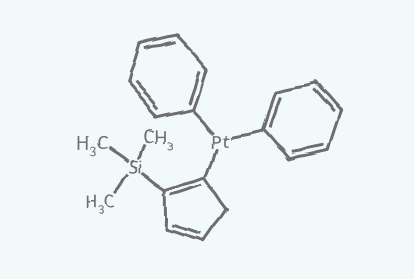 C[Si](C)(C)C1=[C]([Pt]([c]2ccccc2)[c]2ccccc2)CC=C1